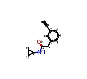 C#Cc1cccc(CC(=O)NC2CC2)c1